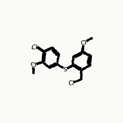 COc1ccc(CCl)c(Sc2ccc(Cl)c(OC)c2)c1